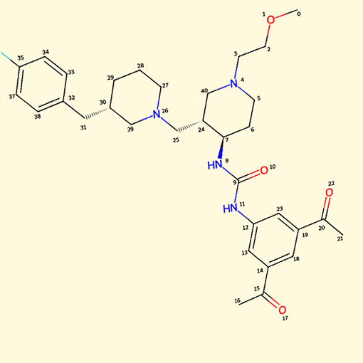 COCCN1CC[C@@H](NC(=O)Nc2cc(C(C)=O)cc(C(C)=O)c2)[C@H](CN2CCC[C@@H](Cc3ccc(F)cc3)C2)C1